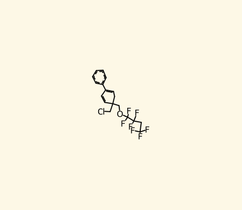 FC(F)(F)CC(F)(F)C(F)(F)OCC1(CCl)C=CC(c2ccccc2)=CC1